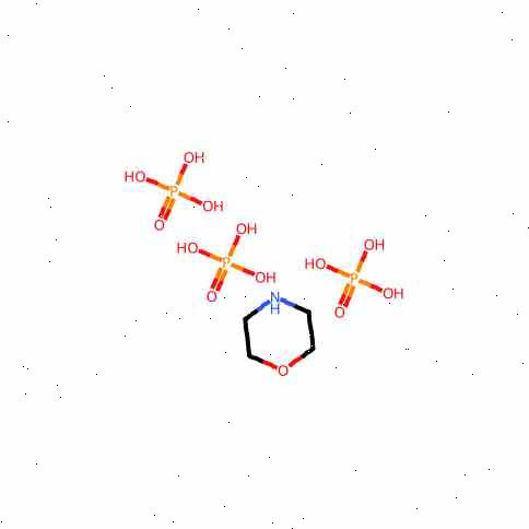 C1COCCN1.O=P(O)(O)O.O=P(O)(O)O.O=P(O)(O)O